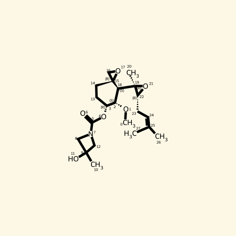 CO[C@@H]1[C@H](OC(=O)N2CC(C)(O)C2)CC[C@]2(CO2)[C@H]1[C@@]1(C)O[C@@H]1CC=C(C)C